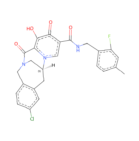 Cc1ccc(CNC(=O)c2cn3c(c(O)c2=O)C(=O)N2Cc4ccc(Cl)cc4C[C@H]3C2)c(F)c1